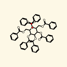 O=C(OCC(OC(=O)c1ccccc1)C(OC(=O)c1ccccc1)C(OC(=O)c1ccccc1)C(OC(=O)c1ccccc1)C(COC(=O)c1ccccc1)OC(=O)c1ccccc1)c1ccccc1